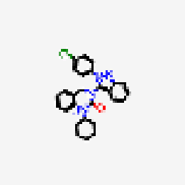 O=C(NC1CCCCC1)N(Cc1ccccc1)c1c2ccccc2nn1-c1ccc(Cl)cc1